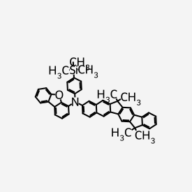 CC1(C)c2ccccc2-c2cc3c(cc21)-c1cc2ccc(N(c4ccc([Si](C)(C)C)cc4)c4cccc5c4oc4ccccc45)cc2cc1C3(C)C